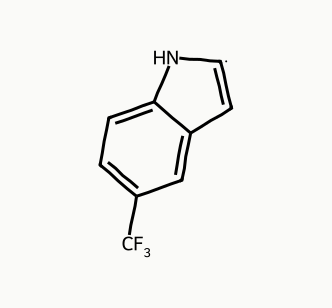 FC(F)(F)c1ccc2[nH][c]cc2c1